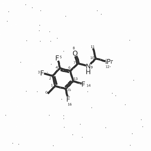 Cc1c(F)c(F)c(C(=O)NC(C)C(C)C)c(F)c1F